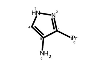 CC(C)c1n[nH]cc1N